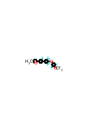 CC1CCC(c2ccc(-c3cc(F)c(C(F)(F)Oc4cc(F)c(OC(F)(F)F)c(F)c4)c(F)c3)c(F)c2)OC1